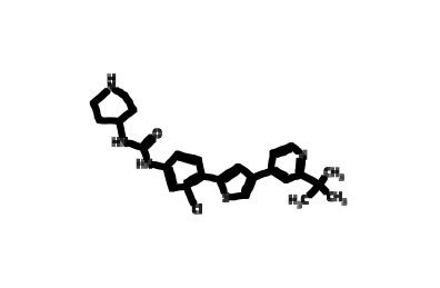 CC(C)(C)c1cc(-c2csc(-c3ccc(NC(=O)NC4CCNCC4)cc3Cl)c2)ccn1